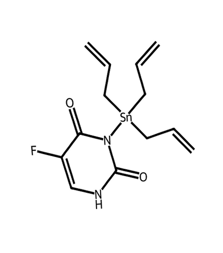 C=C[CH2][Sn]([CH2]C=C)([CH2]C=C)[n]1c(=O)[nH]cc(F)c1=O